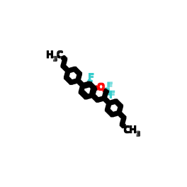 CCCC1CCC(c2ccc3c(c2F)OC(F)(F)C(C2CCC(CCC)CC2)C3)CC1